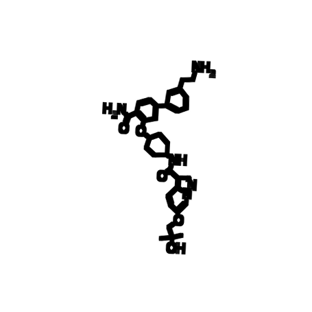 CC(C)(O)COc1ccc2c(C(=O)NC3CCC(Oc4cc(-c5cccc(CCN)c5)ccc4C(N)=O)CC3)cnn2c1